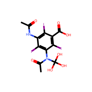 CC(=O)Nc1c(I)c(C(=O)O)c(I)c(N(C(C)=O)C(O)(O)O)c1I